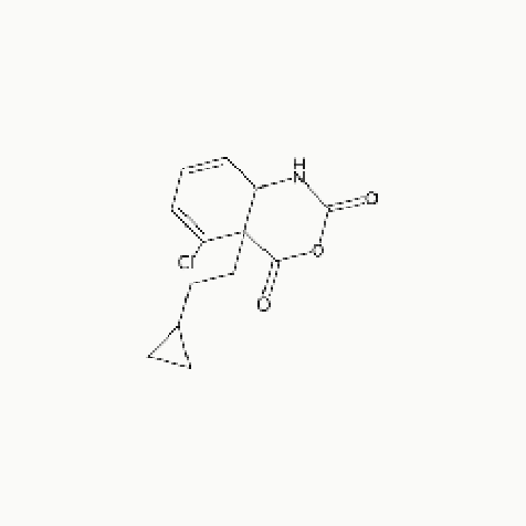 O=C1NC2C=CC=C(Cl)C2(CCC2CC2)C(=O)O1